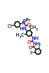 CCCN(C(=O)Nc1c(C)cc(NC(=O)NC(=O)c2c(F)cccc2F)cc1C)c1ccc(Cl)cc1